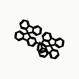 c1ccc(N(c2ccc3c(c2)C2(c4ccccc4-c4ccccc42)c2ccccc2-3)c2cccc3c2C2(c4ccccc4-c4ccccc42)c2ccccc2-3)cc1